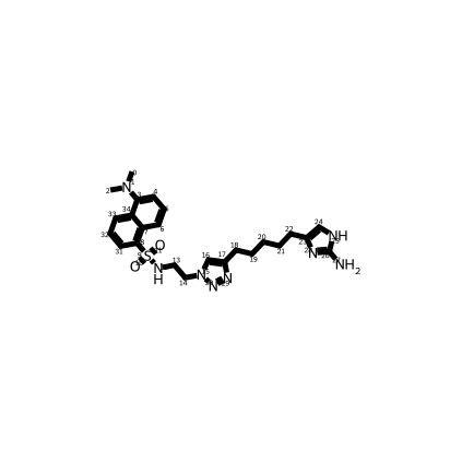 CN(C)c1cccc2c(S(=O)(=O)NCCn3cc(CCCCCc4c[nH]c(N)n4)nn3)cccc12